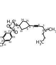 CCCN(C)CC#CC1CCC(N(C)S(=O)(=O)c2ccc(Cl)cc2)CC1